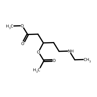 CCNCCC(CC(=O)OC)OC(C)=O